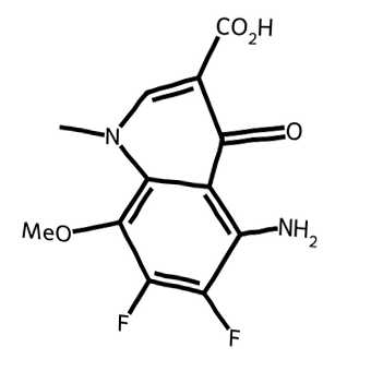 COc1c(F)c(F)c(N)c2c(=O)c(C(=O)O)cn(C)c12